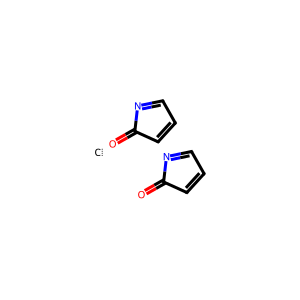 O=C1C=CC=N1.O=C1C=CC=N1.[C]